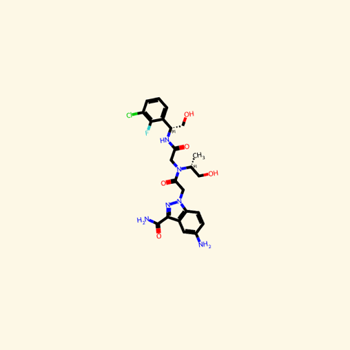 C[C@H](CO)N(CC(=O)N[C@@H](CO)c1cccc(Cl)c1F)C(=O)Cn1nc(C(N)=O)c2cc(N)ccc21